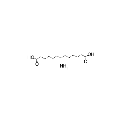 N.O=C(O)CCCCCCCCCCCC(=O)O